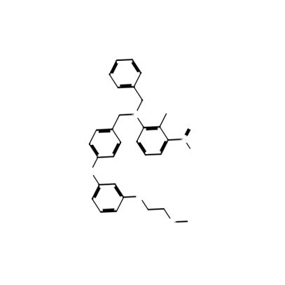 COCCOc1cccc(Oc2ccc(CN(Cc3ccccc3)c3cccc([N+](=O)[O-])c3C)cc2)c1